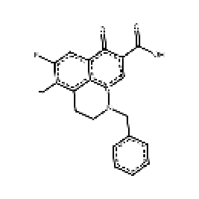 O=C(O)c1cn2c3c(c(F)c(F)cc3c1=O)CCN2Cc1ccccc1